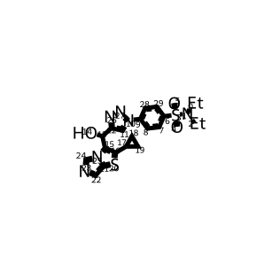 CCN(CC)S(=O)(=O)c1ccc(-n2cc(C(O)c3c(C4CC4)sc4cncn34)nn2)cc1